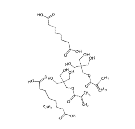 C=C(C)C(=O)OCC(CO)(CO)CO.C=C(C)C(=O)OCC(CO)(CO)CO.O=C(O)CCCCCCC(=O)O.O=C(O)CCCCCCC(=O)O.[CaH2]